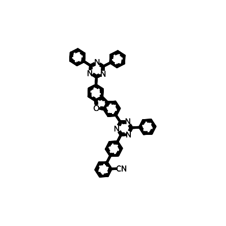 N#Cc1ccccc1-c1ccc(-c2nc(-c3ccccc3)nc(-c3ccc4c(c3)oc3ccc(-c5nc(-c6ccccc6)nc(-c6ccccc6)n5)cc34)n2)cc1